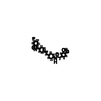 O=C(Cc1ccc2c(c1)OCO2)N[C@H]1CC[C@H](CCN2CCC(c3noc4cc(F)ccc34)CC2)CC1